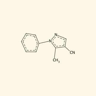 Cc1c(C#N)cnn1-c1ccccc1